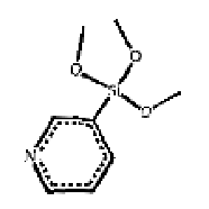 CO[Si](OC)(OC)c1cccnc1